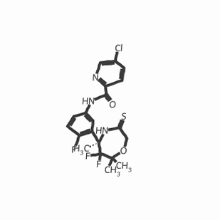 CC1(C)OCC(=S)N[C@](C)(c2cc(NC(=O)c3ccc(Cl)cn3)ccc2F)C1(F)F